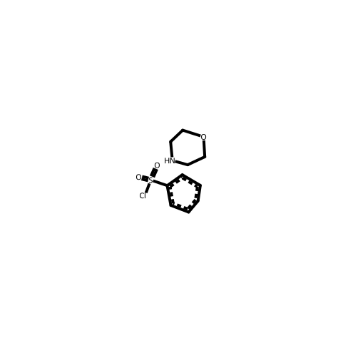 C1COCCN1.O=S(=O)(Cl)c1ccccc1